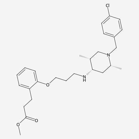 COC(=O)CCc1ccccc1OCCCN[C@H]1C[C@@H](C)N(Cc2ccc(Cl)cc2)C[C@H]1C